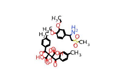 CCOc1cc(C(N)CS(C)(=O)=O)ccc1OC.Cc1ccc(C(=O)C(O)(C(=O)O)C(O)(C(=O)O)C(=O)c2ccc(C)cc2)cc1